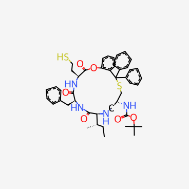 CC[C@H](C)[C@@H]1NC[C@@H](NC(=O)OC(C)(C)C)CSC(c2ccccc2)(c2ccccc2)c2ccccc2OC(=O)[C@H](CCS)NC(=O)[C@H](Cc2ccccc2)NC1=O